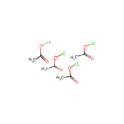 CC(=O)OCl.CC(=O)OCl.CC(=O)OCl.CC(=O)OCl